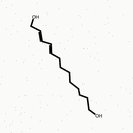 OCC=CC=CCCCCCCCCO